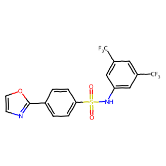 O=S(=O)(Nc1cc(C(F)(F)F)cc(C(F)(F)F)c1)c1ccc(-c2ncco2)cc1